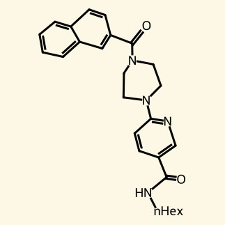 CCCCCCNC(=O)c1ccc(N2CCN(C(=O)c3ccc4ccccc4c3)CC2)nc1